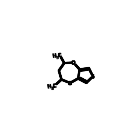 CC1CC(C)Oc2cscc2O1